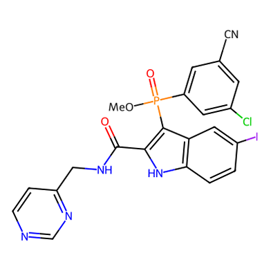 COP(=O)(c1cc(Cl)cc(C#N)c1)c1c(C(=O)NCc2ccncn2)[nH]c2ccc(I)cc12